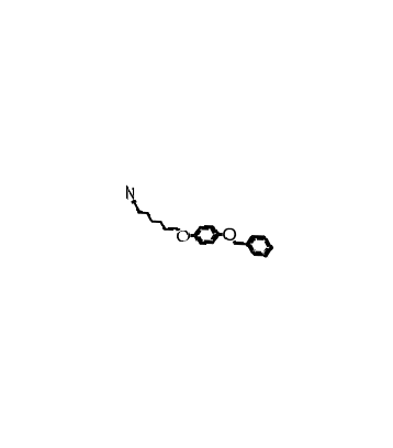 N#CCCCCCCOc1ccc(OCc2ccccc2)cc1